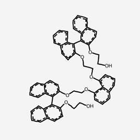 OCCOc1ccc2ccccc2c1-c1c(OCCOc2cccc3cccc(OCCOc4ccc5ccccc5c4-c4c(OCCO)ccc5ccccc45)c23)ccc2ccccc12